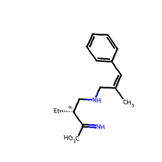 CC[C@H](CNCC(C)=Cc1ccccc1)C(=N)C(=O)O